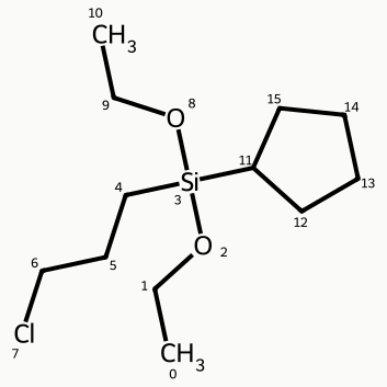 CCO[Si](CCCCl)(OCC)C1CCCC1